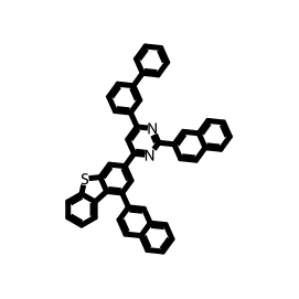 c1ccc(-c2cccc(-c3cc(-c4cc(-c5ccc6ccccc6c5)c5c(c4)sc4ccccc45)nc(-c4ccc5ccccc5c4)n3)c2)cc1